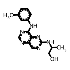 Cc1cccc(Nc2ncnc3cnc(NC(C)CO)nc23)c1